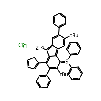 CC(C)(C)c1cc2c(cc1-c1ccccc1)=[C]([Zr+2])c1c(C3=CC=CC3)c(-c3ccccc3)c(C(C)(C)C)c(=[Si](c3ccccc3)c3ccccc3)c1=2.[Cl-].[Cl-]